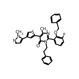 Cc1nc(-c2cccc(F)c2OCc2ccccc2)n(CCc2ccccc2)c(=O)c1-c1cc(-c2ccnn2C)cs1